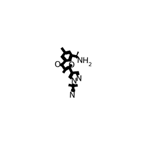 Cc1cc([C@@H](C)N)c2oc(-c3cnn(C(C)(C)C#N)c3)c(C)c(=O)c2c1